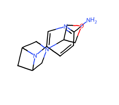 Nc1ccc(N2C3CC2CN(C2COC2)C3)cn1